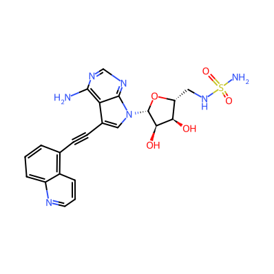 Nc1ncnc2c1c(C#Cc1cccc3ncccc13)cn2[C@@H]1O[C@H](CNS(N)(=O)=O)[C@@H](O)[C@H]1O